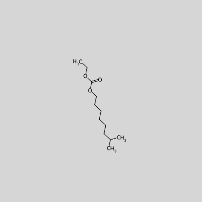 CCOC(=O)OCCCCCCC(C)C